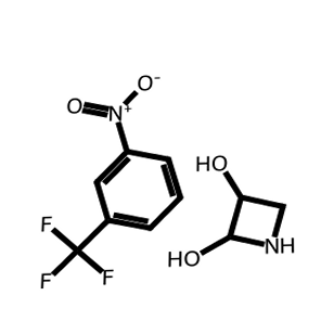 O=[N+]([O-])c1cccc(C(F)(F)F)c1.OC1CNC1O